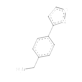 NCc1ccc(-c2ccon2)cc1